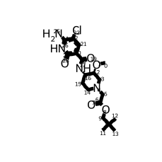 CO[C@H]1CN(CC(=O)OCC(C)(C)C)CC[C@H]1NC(=O)c1cc(Cl)c(N)[nH]c1=O